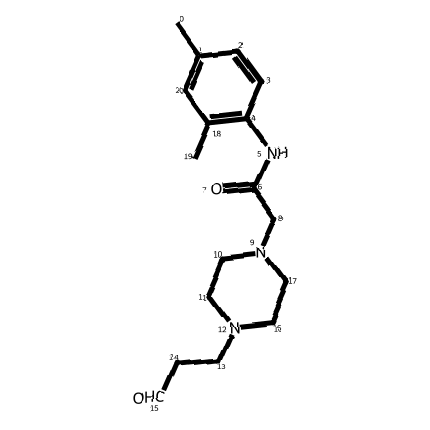 Cc1ccc(NC(=O)CN2CCN(CCC=O)CC2)c(C)c1